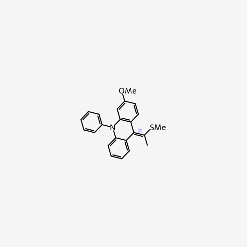 COc1ccc2c(c1)N(c1ccccc1)c1ccccc1/C2=C(\C)SC